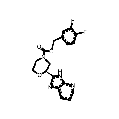 O=C(OCc1ccc(F)c(F)c1)N1CCO[C@H](c2nc3cccnc3[nH]2)C1